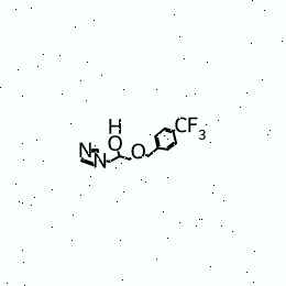 OC(COCc1ccc(C(F)(F)F)cc1)Cn1ccnc1